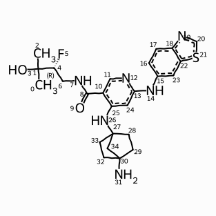 CC(C)(O)[C@H](F)CNC(=O)c1cnc(Nc2ccc3ncsc3c2)cc1NC12CCC(N)(CC1)C2